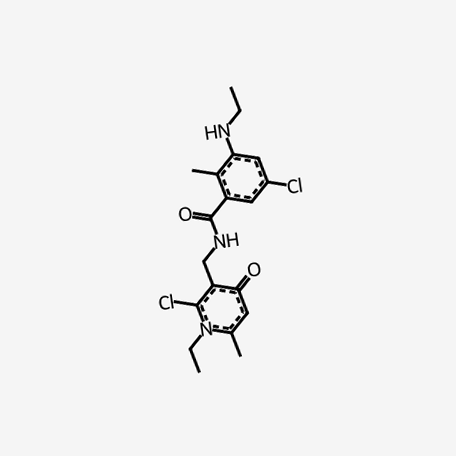 CCNc1cc(Cl)cc(C(=O)NCc2c(Cl)n(CC)c(C)cc2=O)c1C